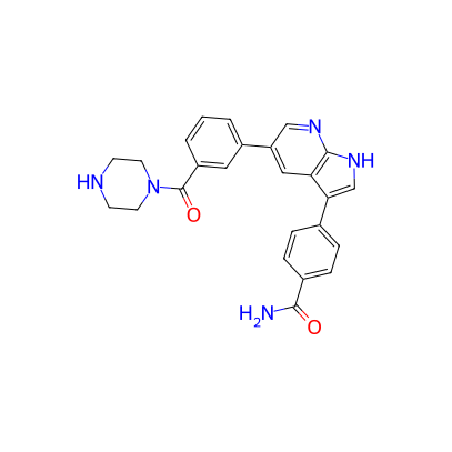 NC(=O)c1ccc(-c2c[nH]c3ncc(-c4cccc(C(=O)N5CCNCC5)c4)cc23)cc1